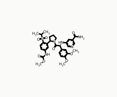 COC(=O)Nc1ccc(S(=O)(=O)C(C)C)c(C2CCCN2C(=O)[C@H](Nc2cncc(C(N)=O)c2)c2ccc(OC)c(OC)c2)c1